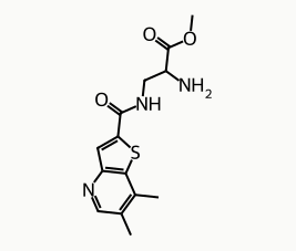 COC(=O)C(N)CNC(=O)c1cc2ncc(C)c(C)c2s1